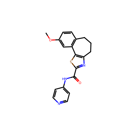 COc1ccc2c(c1)-c1sc(C(=O)Nc3ccncc3)nc1CCC2